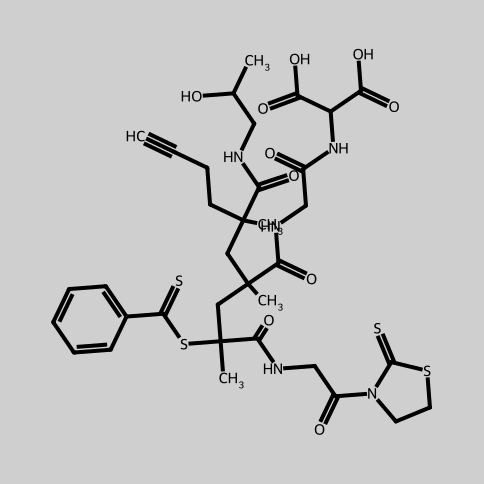 C#CCCC(C)(CC(C)(CC(C)(SC(=S)c1ccccc1)C(=O)NCC(=O)N1CCSC1=S)C(=O)NCC(=O)NC(C(=O)O)C(=O)O)C(=O)NCC(C)O